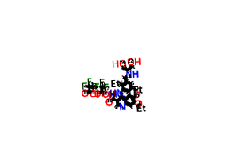 CCOc1cc2ncc(C(N)=O)c(Nc3cccc(CNC(CO)CO)c3CC)c2cc1OCC.O=C(O)C(F)(F)F.O=C(O)C(F)(F)F